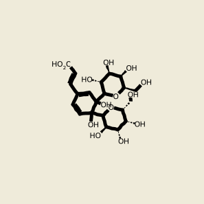 O=C(O)C=CC1=CC(O)(C2O[C@H](CO)[C@H](O)[C@H](O)[C@H]2O)C(O)(C2O[C@H](CO)[C@H](O)[C@H](O)[C@H]2O)C=C1